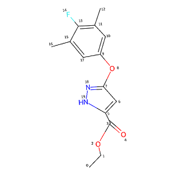 CCOC(=O)c1cc(Oc2cc(C)c(F)c(C)c2)n[nH]1